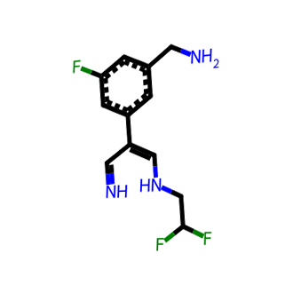 N=C/C(=C\NCC(F)F)c1cc(F)cc(CN)c1